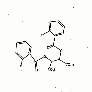 O=C(OC(C(=O)O)C(OC(=O)c1ccccc1F)C(=O)O)c1ccccc1F